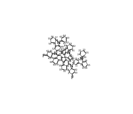 Fc1ccc(N(c2ccc3c(c2)c2ccccc2n3-c2ccccc2)c2cc3c(c4ccccc24)-c2c(cc(N(c4ccc(F)cc4)c4ccc5c(c4)c4ccccc4n5-c4ccccc4)c4ccccc24)C32c3ccccc3-n3c4ccccc4c4cccc2c43)cc1